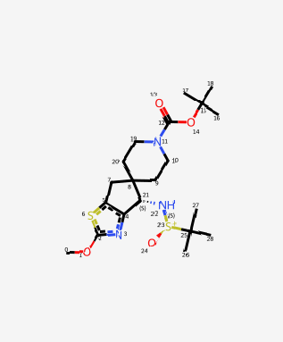 COc1nc2c(s1)CC1(CCN(C(=O)OC(C)(C)C)CC1)[C@@H]2N[S@+]([O-])C(C)(C)C